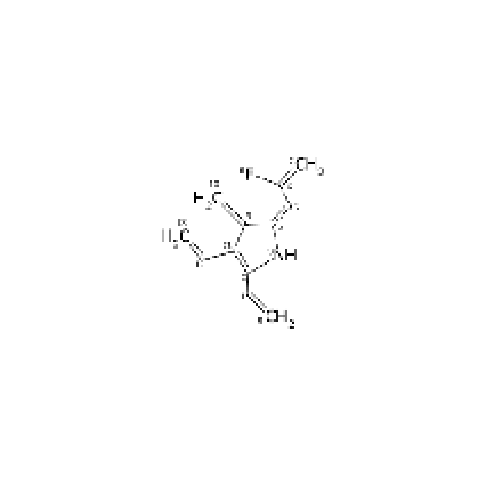 C=Cc1[nH]/c(=C/C(=C)F)c(=C)c1C=C